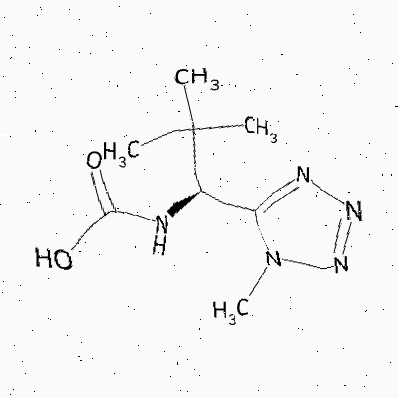 Cn1nnnc1[C@@H](NC(=O)O)C(C)(C)C